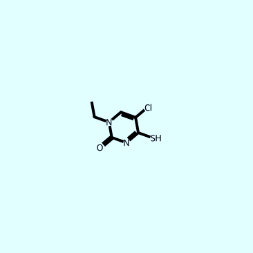 CCn1cc(Cl)c(S)nc1=O